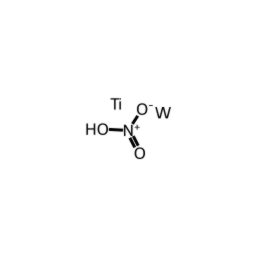 O=[N+]([O-])O.[Ti].[W]